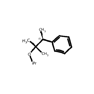 CC(C)OC(C)(C)[C@@H](C)c1ccccc1